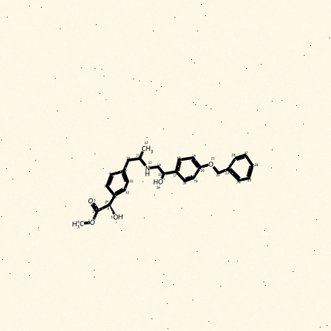 COC(=O)[C@H](O)c1ccc(CC(C)NCC(O)c2ccc(OCc3ccccc3)cc2)cc1